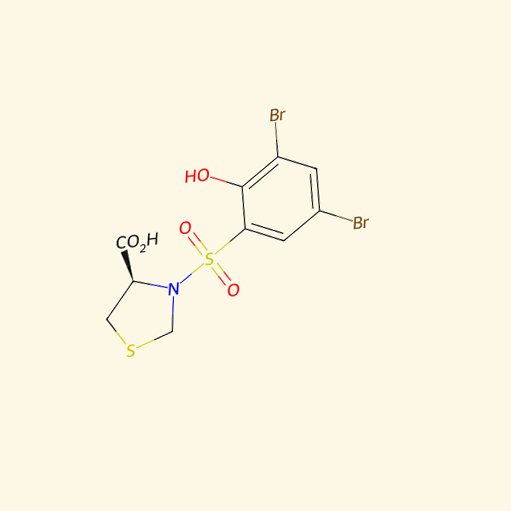 O=C(O)[C@@H]1CSCN1S(=O)(=O)c1cc(Br)cc(Br)c1O